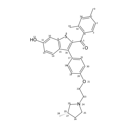 Cc1ccc(C(=O)c2sc3cc(O)ccc3c2-c2ccc(OCCN3CC[C@H](C)C3)cc2)c(C)c1